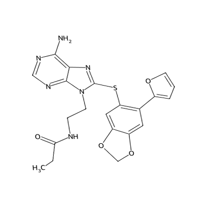 CCC(=O)NCCn1c(Sc2cc3c(cc2-c2ccco2)OCO3)nc2c(N)ncnc21